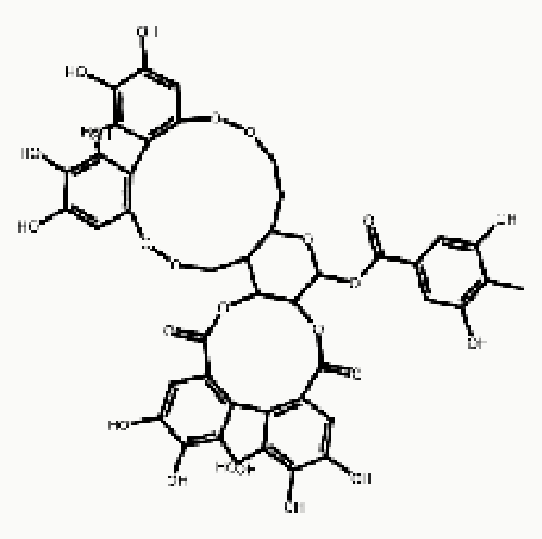 Cc1c(O)cc(C(=O)OC2OC3CCOOc4cc(O)c(O)c(O)c4-c4c(cc(O)c(O)c4O)OOCC3C3OC(=O)c4cc(O)c(O)c(O)c4-c4c(cc(O)c(O)c4O)C(=O)OC23)cc1O